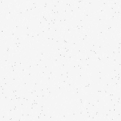 O=C1C(=Cc2nc3sc(-c4ccccc4)cc3o2)C(=O)c2cc(Cl)c(Cl)cc21